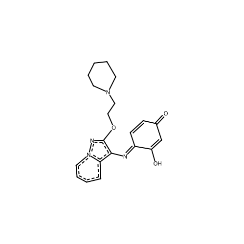 O=C1C=C/C(=N\c2c(OCCN3CCCCC3)nn3ccccc23)C(O)=C1